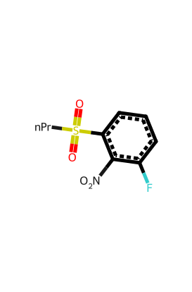 CCCS(=O)(=O)c1cccc(F)c1[N+](=O)[O-]